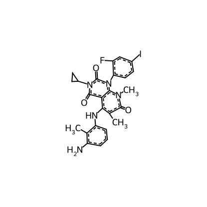 Cc1c(N)cccc1Nc1c(C)c(=O)n(C)c2c1c(=O)n(C1CC1)c(=O)n2-c1ccc(I)cc1F